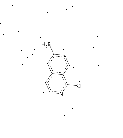 Bc1ccc2c(Cl)nccc2c1